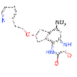 O=c1[nH]c2cc([N+](=O)[O-])c3c(c2[nH]c1=O)CC(OCCc1ccccn1)C3